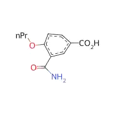 CCCOc1ccc(C(=O)O)cc1C(N)=O